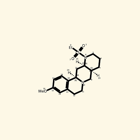 CCS(=O)(=O)N1CCC[C@H]2CN3CCc4cc(OC)ccc4[C@H]3C[C@H]21